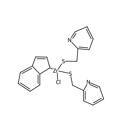 [Cl][Zr]([S]Cc1ccccn1)([S]Cc1ccccn1)[CH]1C=Cc2ccccc21